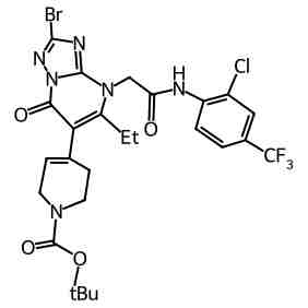 CCc1c(C2=CCN(C(=O)OC(C)(C)C)CC2)c(=O)n2nc(Br)nc2n1CC(=O)Nc1ccc(C(F)(F)F)cc1Cl